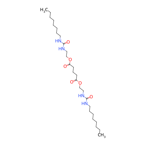 CCCCCCCCNC(=O)NCCOC(=O)CCCC(=O)OCCNC(=O)NCCCCCCCC